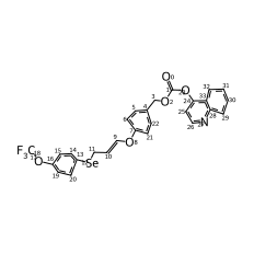 O=C(OCc1ccc(OC=CC[Se]c2ccc(OC(F)(F)F)cc2)cc1)Oc1ccnc2ccccc12